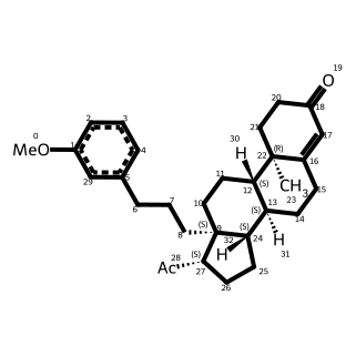 COc1cccc(CCC[C@]23CC[C@H]4[C@@H](CCC5=CC(=O)CC[C@@]54C)[C@@H]2CC[C@@H]3C(C)=O)c1